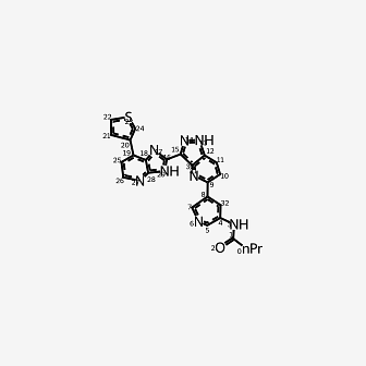 CCCC(=O)Nc1cncc(-c2ccc3[nH]nc(-c4nc5c(-c6ccsc6)ccnc5[nH]4)c3n2)c1